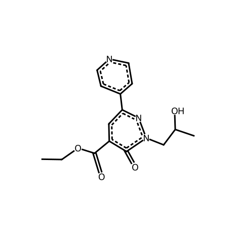 CCOC(=O)c1cc(-c2ccncc2)nn(CC(C)O)c1=O